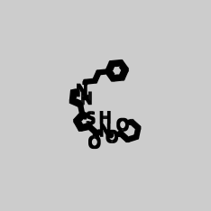 O=C(NOC1CCCCO1)c1ccc(-c2ccn(CCCc3ccccc3)n2)s1